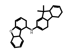 CC1(C)C2=CC(NC3CC=CC4=C3C3C=CC=CC3O4)=CCC2C2CCC=CC21